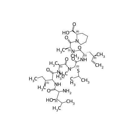 C=C[C@H](C)C[C@H](NC(=O)[C@H](SC(C)C)N(C)C(=O)[C@H](C)N(C)C(=O)C(NC(=O)C(N)[C@H](O)C(C)C)[C@@H](C)CC)C(=O)N(C)[C@@H](C)C(=O)N1CCCC[C@@H]1C(=O)O